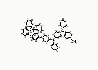 Cc1ccc2c(c1)c1cc(N(c3ccccc3)c3ccc(-c4ccc5c(c4)C4(c6ccccc6-c6ccccc64)c4ccccc4-5)cc3)ccc1n2-c1ccccc1